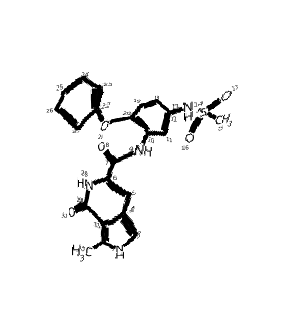 Cc1[nH]cc2cc(C(=O)Nc3cc(NS(C)(=O)=O)ccc3Oc3ccccc3)[nH]c(=O)c12